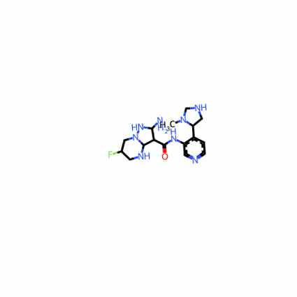 CN1CNCC1c1ccncc1NC(=O)C1C(N)NN2CC(F)CNC12